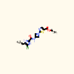 CCOC(=O)c1cnc(N2CC(NC(=O)c3nc(Cl)c(CC)[nH]3)C2)s1